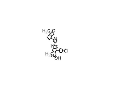 Cc1cc2nc(-c3ccnc(-c4cccc5c4CC(=O)N5C)c3)sc2c(-c2ccc(Cl)cc2)c1CC(=O)O